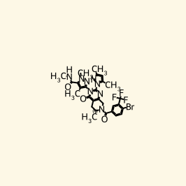 CNC(=O)c1c(C)c(-n2c(-n3nc(C)cc3C)nc3c(c2=O)C[C@@H](C)N(C(=O)c2ccc(Br)c(C(F)(F)F)c2)C3)nn1C